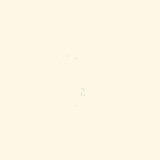 CC(=O)N1CCC(CC(C)(C)OC(=O)NCC(=O)O)CC1